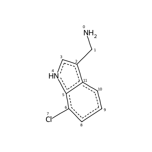 NCc1c[nH]c2c(Cl)cccc12